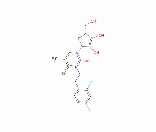 O=c1c(C(F)(F)F)cn([C@@H]2O[C@H](CO)C(O)=C2O)c(=O)n1CCc1ccc(F)cc1F